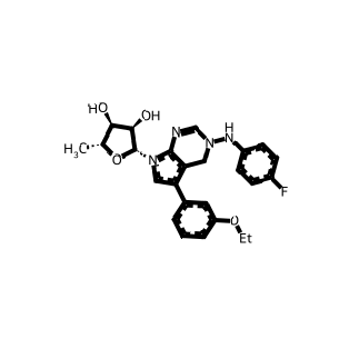 CCOc1cccc(-c2cn([C@@H]3O[C@H](C)[C@@H](O)[C@H]3O)c3c2CN(Nc2ccc(F)cc2)C=N3)c1